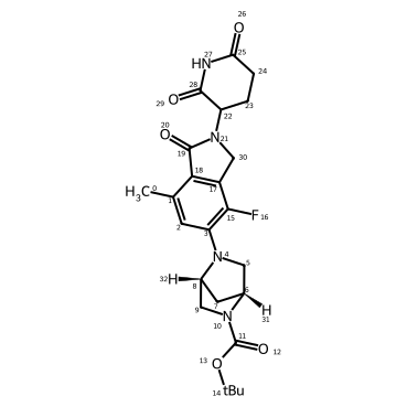 Cc1cc(N2C[C@H]3C[C@@H]2CN3C(=O)OC(C)(C)C)c(F)c2c1C(=O)N(C1CCC(=O)NC1=O)C2